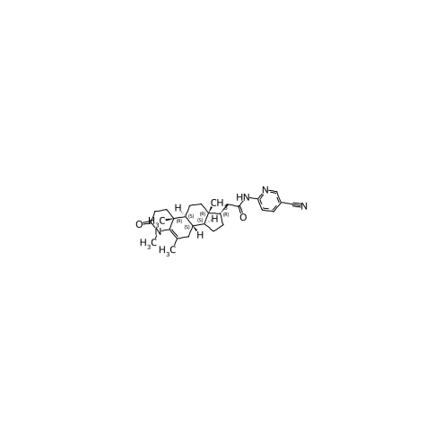 CC1=C2N(C)C(=O)CC[C@]2(C)[C@H]2CC[C@]3(C)[C@@H](CC(=O)Nc4ccc(C#N)cn4)CC[C@H]3[C@@H]2C1